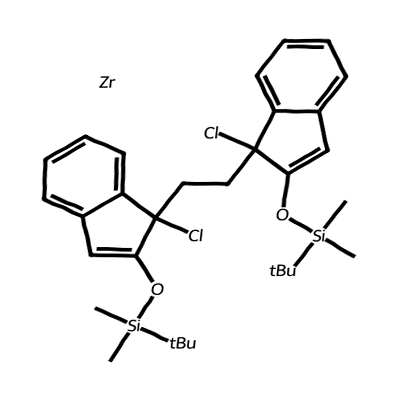 CC(C)(C)[Si](C)(C)OC1=Cc2ccccc2C1(Cl)CCC1(Cl)C(O[Si](C)(C)C(C)(C)C)=Cc2ccccc21.[Zr]